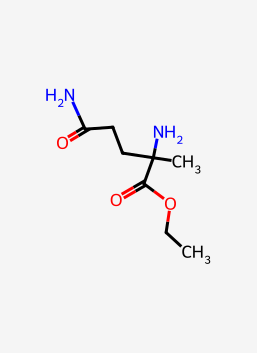 CCOC(=O)C(C)(N)CCC(N)=O